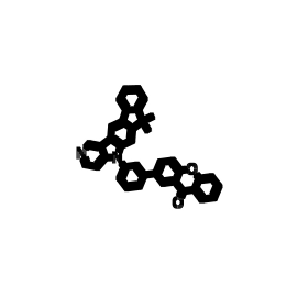 CC1(C)c2ccccc2-c2cc3c4cnccc4n(-c4cccc(-c5ccc6oc7ccccc7c(=O)c6c5)c4)c3cc21